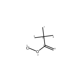 C=C(OCl)C(C)(C)C